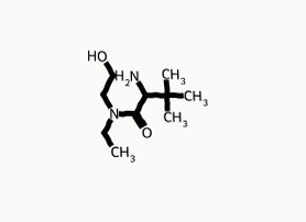 CCN(CCO)C(=O)C(N)C(C)(C)C